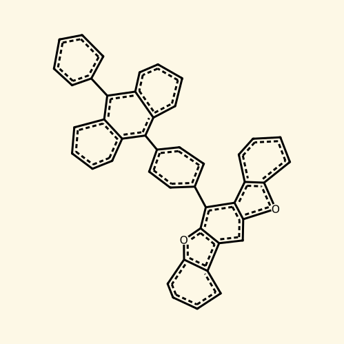 c1ccc(-c2c3ccccc3c(-c3ccc(-c4c5oc6ccccc6c5cc5oc6ccccc6c45)cc3)c3ccccc23)cc1